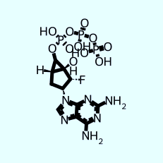 Nc1nc(N)c2ncn([C@@H]3C[C@@H]4C(OP(=O)(O)OP(=O)(O)OP(=O)(O)O)[C@]4(O)[C@@H]3F)c2n1